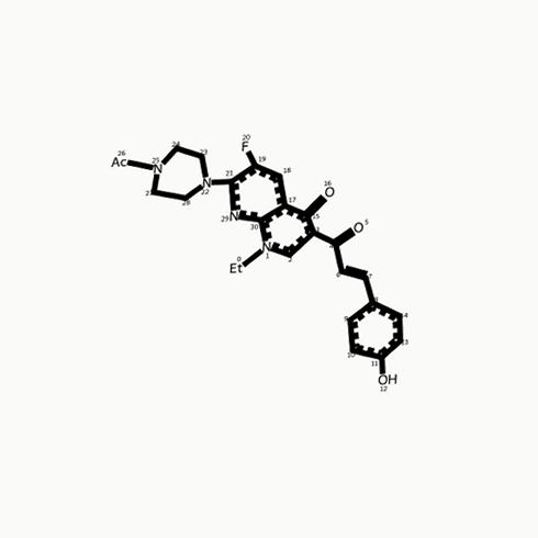 CCn1cc(C(=O)C=Cc2ccc(O)cc2)c(=O)c2cc(F)c(N3CCN(C(C)=O)CC3)nc21